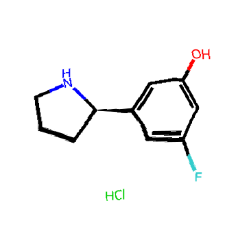 Cl.Oc1cc(F)cc([C@H]2CCCN2)c1